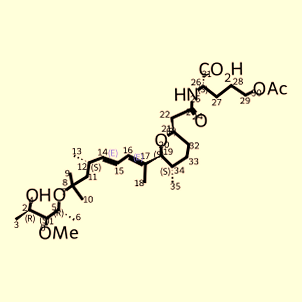 CO[C@@H]([C@@H](C)O)[C@@H](C)OC(C)(C)C[C@H](C)/C=C/C=C(\C)[C@H]1O[C@@H](CC(=O)N[C@@H](CCCOC(C)=O)C(=O)O)CC[C@@H]1C